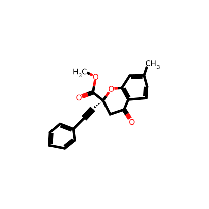 COC(=O)[C@]1(C#Cc2ccccc2)CC(=O)c2ccc(C)cc2O1